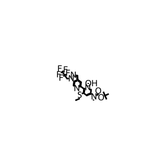 CCSC1=C(c2cc3cnn(CC(F)(F)C(F)(F)F)c3cn2)N(O)CC(N(C)C(=O)OC(C)(C)C)=C1